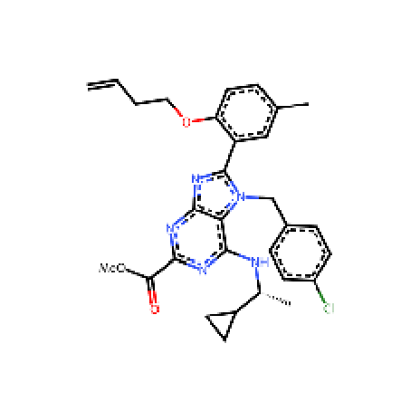 C=CCCOc1ccc(C)cc1-c1nc2nc(C(=O)OC)nc(N[C@H](C)C3CC3)c2n1Cc1ccc(Cl)cc1